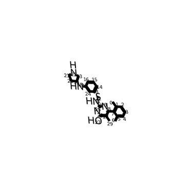 Cc1cccc(C)c1-c1nc(NSc2cccc(NC3CCNC3)c2)nc(O)c1C